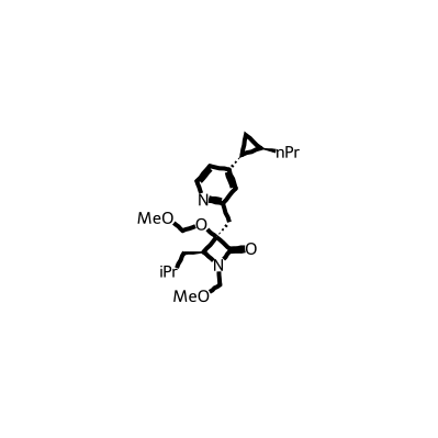 CCC[C@@H]1C[C@H]1c1ccnc(C[C@]2(OCOC)C(=O)N(COC)[C@H]2CC(C)C)c1